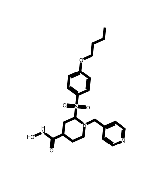 CCCCOc1ccc(S(=O)(=O)C2CC(C(=O)NO)CCN2Cc2ccncc2)cc1